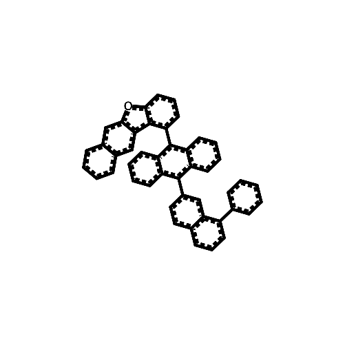 c1ccc(-c2cccc3ccc(-c4c5ccccc5c(-c5cccc6oc7cc8ccccc8cc7c56)c5ccccc45)cc23)cc1